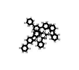 c1ccc(-c2ccc(-c3nc(-c4ccccc4-n4c5ccccc5c5ccc(-c6ccccc6)cc54)nc(-n4c5ccccc5c5ccccc54)n3)c(-c3ccccc3)c2)cc1